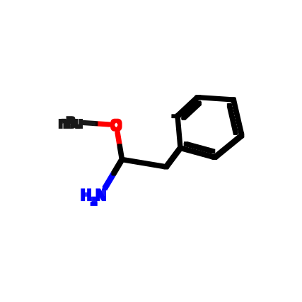 CCCCOC(N)Cc1[c]cccc1